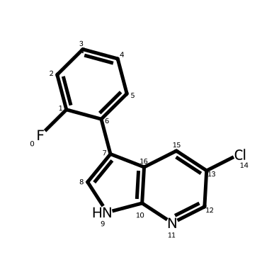 Fc1c[c]ccc1-c1c[nH]c2ncc(Cl)cc12